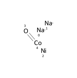 [Na].[Na].[Ni].[O]=[Co]